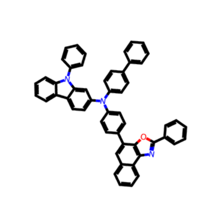 c1ccc(-c2ccc(N(c3ccc(-c4cc5ccccc5c5nc(-c6ccccc6)oc45)cc3)c3ccc4c5ccccc5n(-c5ccccc5)c4c3)cc2)cc1